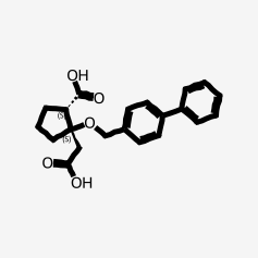 O=C(O)C[C@@]1(OCc2ccc(-c3ccccc3)cc2)CCC[C@@H]1C(=O)O